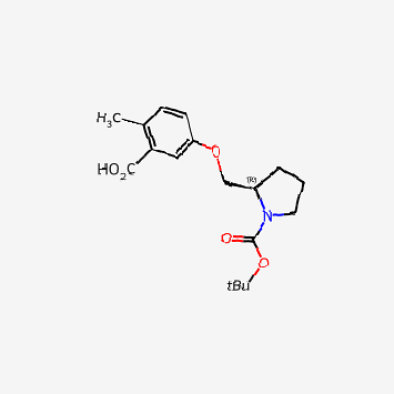 Cc1ccc(OC[C@H]2CCCN2C(=O)OC(C)(C)C)cc1C(=O)O